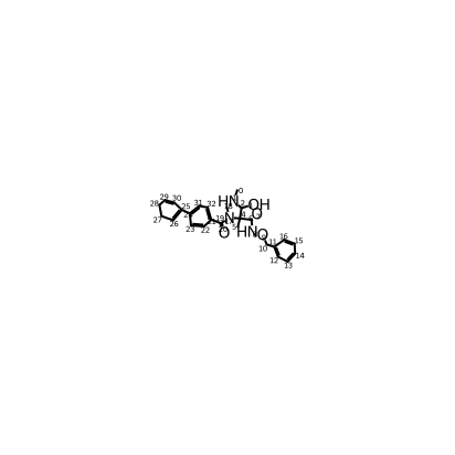 CNC(O)C(C)(C(=O)NOCc1ccccc1)N(C)C(=O)c1ccc(C2=CCCC=C2)cc1